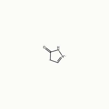 O=C1[C]C=[N+]N1